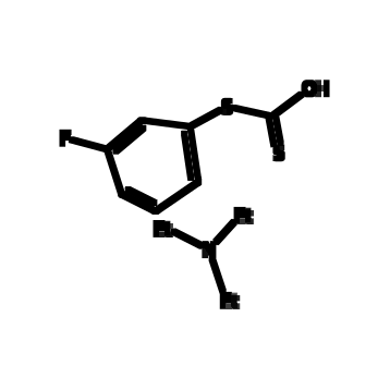 CCN(CC)CC.OC(=S)Sc1cccc(F)c1